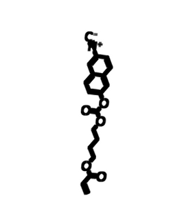 [C-]#[N+]c1ccc2cc(OC(=O)OCCCCOC(=O)C=C)ccc2c1